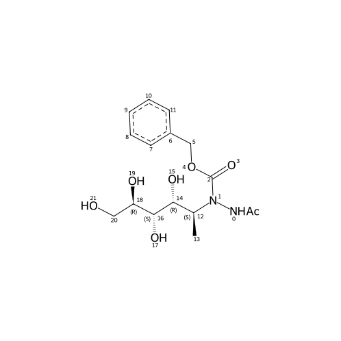 CC(=O)NN(C(=O)OCc1ccccc1)[C@@H](C)[C@@H](O)[C@H](O)[C@H](O)CO